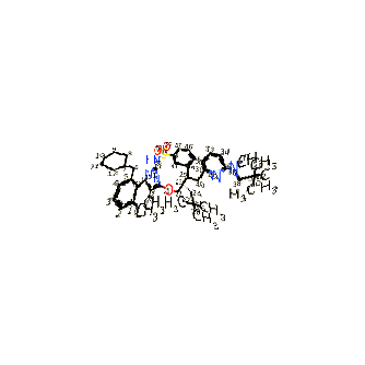 Cc1cccc(CC2CCCCC2)c1-c1nc2nc(c1C)OC[C@@H](CC(C)(C)C)C(Cc1cccc(N(C)CC(C)(C)C)n1)c1cccc(c1)S(=O)(=O)N2